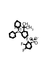 CC(C)(C)c1ccccc1[S+](c1ccccc1)c1ccccc1.O=S(=O)([O-])c1ccc(F)c(F)c1F